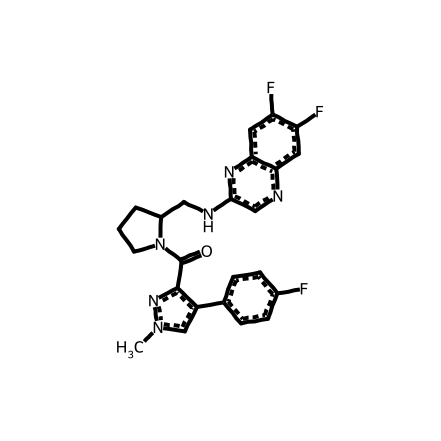 Cn1cc(-c2ccc(F)cc2)c(C(=O)N2CCCC2CNc2cnc3cc(F)c(F)cc3n2)n1